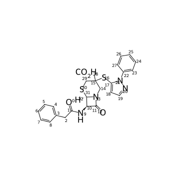 O=C(Cc1ccccc1)N[C@@H]1C(=O)N2CC(Sc3ccnn3-c3ccccc3)(C(=O)O)CS[C@H]12